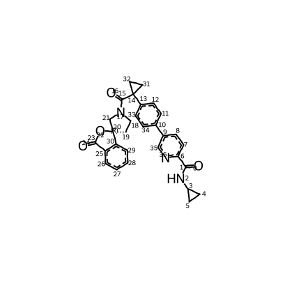 O=C(NC1CC1)c1ccc(-c2ccc(C3(C(=O)N4CC[C@@]5(C4)OC(=O)c4ccccc45)CC3)cc2)cn1